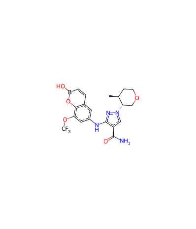 C[C@H]1CCOC[C@@H]1n1cc(C(N)=O)c(Nc2cc3c(c(OC(F)(F)F)c2)OB(O)C=C3)n1